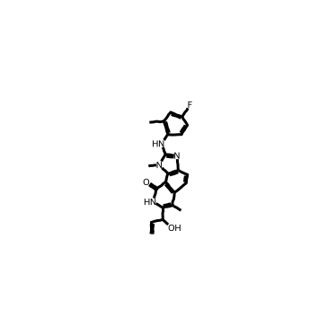 C=CC(O)c1[nH]c(=O)c2c(ccc3nc(Nc4ccc(F)cc4C)n(C)c32)c1C